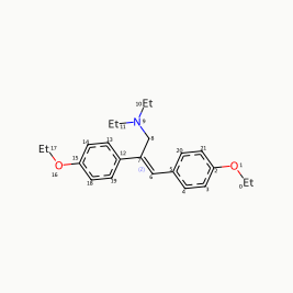 CCOc1ccc(/C=C(\CN(CC)CC)c2ccc(OCC)cc2)cc1